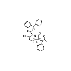 CC(=O)N(c1ccccc1)[C@@H]1C(=O)N2C(C(=O)OC(c3ccccc3)c3ccccc3)=C(O)CS[C@H]12